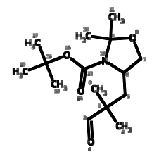 CC(C)(C=O)CC1COC(C)(C)N1C(=O)OC(C)(C)C